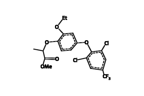 CCOc1cc(Oc2c(Cl)cc(C(F)(F)F)cc2Cl)ccc1OC(C)C(=O)OC